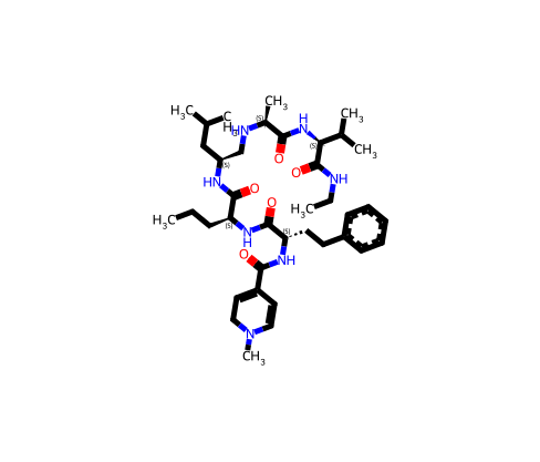 CCC[C@H](NC(=O)[C@H](CCc1ccccc1)NC(=O)C1=CCN(C)C=C1)C(=O)N[C@H](CN[C@@H](C)C(=O)N[C@H](C(=O)NCC)C(C)C)CC(C)C